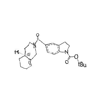 CC(C)(C)OC(=O)N1CCc2cc(C(=O)N3CC[C@@H]4CCCC=C4C3)ccc21